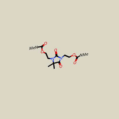 CNC(=O)OCCN1C(=O)N(CCOC(=O)NC)C(C)(C)C1=O